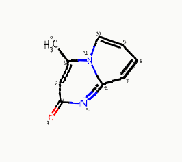 Cc1cc(=O)nc2ccccn12